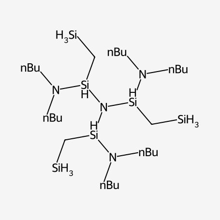 CCCCN(CCCC)[SiH](C[SiH3])N([SiH](C[SiH3])N(CCCC)CCCC)[SiH](C[SiH3])N(CCCC)CCCC